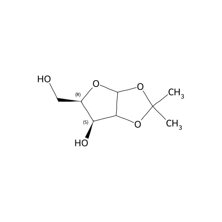 CC1(C)OC2O[C@H](CO)[C@H](O)C2O1